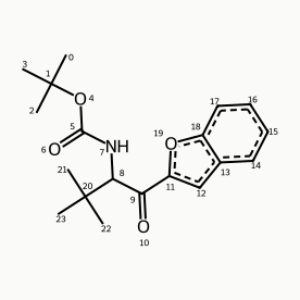 CC(C)(C)OC(=O)NC(C(=O)c1cc2ccccc2o1)C(C)(C)C